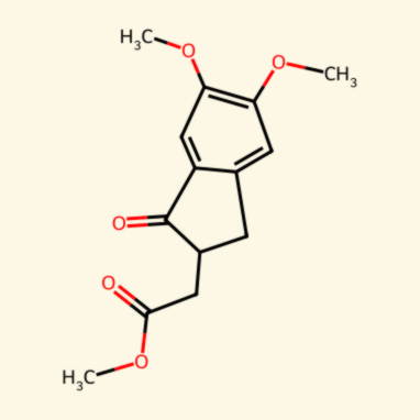 COC(=O)CC1Cc2cc(OC)c(OC)cc2C1=O